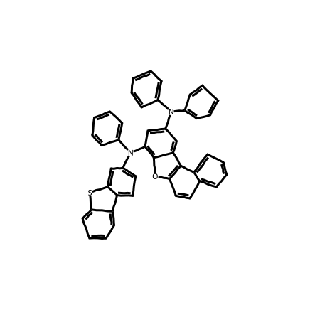 c1ccc(N(c2ccccc2)c2cc(N(c3ccccc3)c3ccc4c(c3)sc3ccccc34)c3oc4ccc5ccccc5c4c3c2)cc1